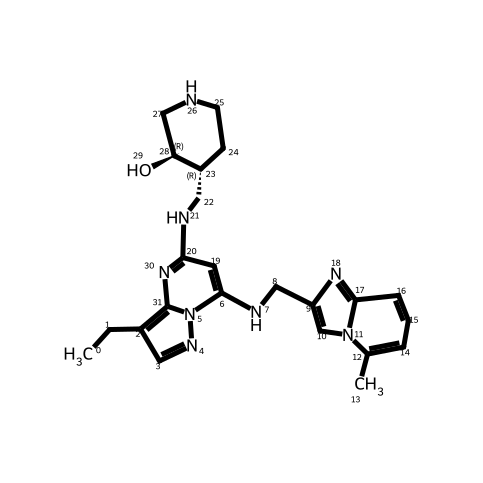 CCc1cnn2c(NCc3cn4c(C)cccc4n3)cc(NC[C@H]3CCNC[C@@H]3O)nc12